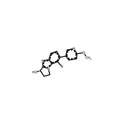 COc1ccc(-c2ccc3nc4n(c3c2F)CC[C@H]4O)cn1